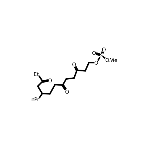 CCCC(CCC(=O)CCC(=O)CCOS(=O)(=O)OC)CC(=O)CC